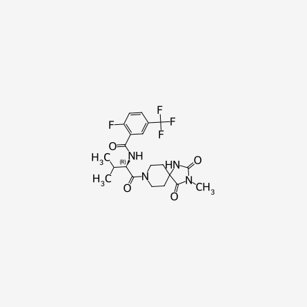 CC(C)[C@@H](NC(=O)c1cc(C(F)(F)F)ccc1F)C(=O)N1CCC2(CC1)NC(=O)N(C)C2=O